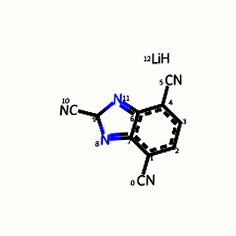 N#Cc1ccc(C#N)c2c1=NC(C#N)N=2.[LiH]